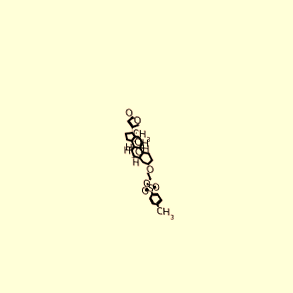 Cc1ccc(S(=O)(=O)OCCO[C@H]2CC[C@@]3(C)[C@H](CC[C@@H]4[C@@H]3CC[C@]3(C)[C@@H](C5=CC(=O)OC5)CC[C@]43O)C2)cc1